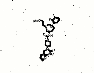 COCCN1C[C@H](NC(=O)N2CCC(N3Cc4cccnc4NC3=O)CC2)CC[C@@H](c2cccc(F)c2F)C1